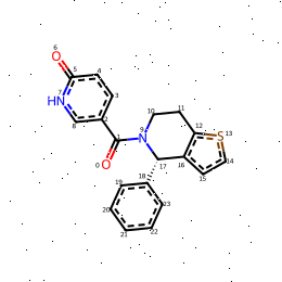 O=C(c1ccc(=O)[nH]c1)N1CCc2sccc2[C@@H]1c1ccccc1